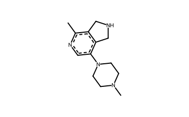 Cc1ncc(N2CCN(C)CC2)c2c1CNC2